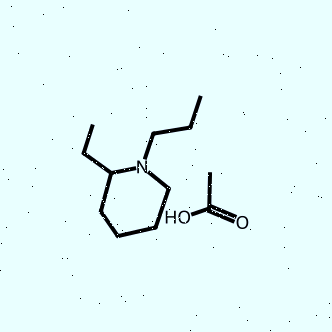 CC(=O)O.CCCN1CCCCC1CC